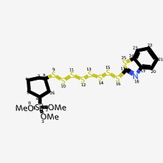 CO[Si](OC)(OC)C1CCCC(SSSSSSSSc2nc3ccccc3s2)C1